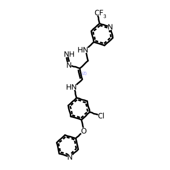 N=N/C(=C\Nc1ccc(Oc2cccnc2)c(Cl)c1)CNc1ccnc(C(F)(F)F)c1